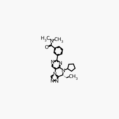 CC[C@@H]1c2nncn2-c2cnc(-c3cccc(C(=O)N(C)C)c3)nc2N1C1CCCC1